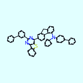 c1ccc(-c2ccc(N(c3ccccc3)c3cccc4c3-c3ccc(-c5nc(-c6cccc(-c7ccccc7)c6)nc6c5sc5ccccc56)cc3C4)cc2)cc1